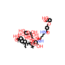 C=CC[C@]1(C)C(C(C)[C@@](C)(CCC(C)(C)C)C(=O)O[C@@H]2O[C@H](CO)C(NC(=O)CCCCCNC(=O)c3ccc(COc4cccc(O)c4C=O)cc3)C(O)C2OCC(O)C(O)C(O[C@@H]2OC[C@@H](O)C(O)C2O)[C@@H](C)O)=CCC2C3(C)CCC(O)C(C)(C=O)[C@H]3CC[C@]21C